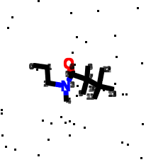 CCCN(C)C(=O)C(C)(C)C(C)(C)C